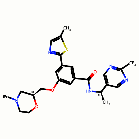 Cc1cnc(-c2cc(OC[C@@H]3CN(C(C)C)CCO3)cc(C(=O)N[C@H](C)c3cnc(C(F)(F)F)nc3)c2)s1